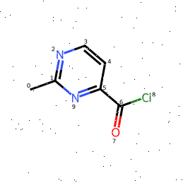 Cc1nccc(C(=O)Cl)n1